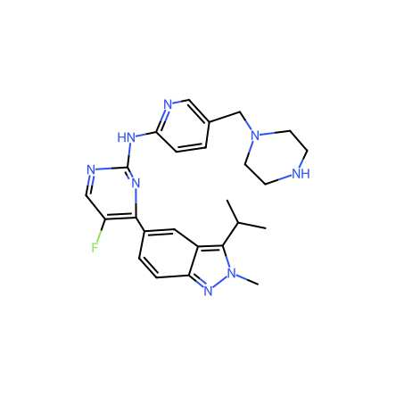 CC(C)c1c2cc(-c3nc(Nc4ccc(CN5CCNCC5)cn4)ncc3F)ccc2nn1C